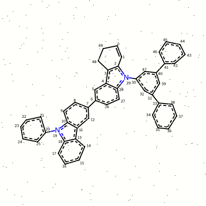 C1=Cc2c(c3cc(-c4ccc5c(c4)c4ccccc4n5-c4ccccc4)ccc3n2-c2cc(-c3ccccc3)cc(-c3ccccc3)c2)CC1